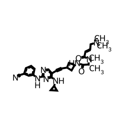 C[C@@H](C(=O)NC1CC(C#Cc2cnc(Nc3cccc(C#N)c3)nc2NC2CC2)C1)N(C)C(=O)/C=C/CN(C)C